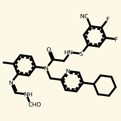 Cc1ccc(N(Cc2ccc(C3CCCCC3)cn2)C(=O)CNSc2cc(F)c(F)c(C#N)c2)cc1/N=C\NC=O